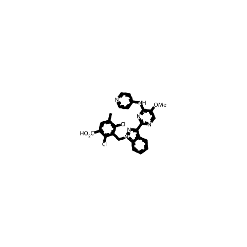 COc1cnc(-c2nn(Cc3c(Cl)c(C)cc(C(=O)O)c3Cl)c3ccccc23)nc1Nc1ccncc1